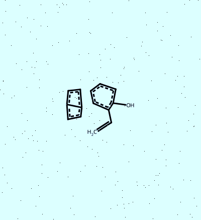 C=Cc1ccccc1O.c1cc2ccc1-2